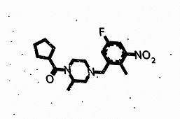 Cc1c(CN2CCN(C(=O)C3CCCC3)C(C)C2)cc(F)cc1[N+](=O)[O-]